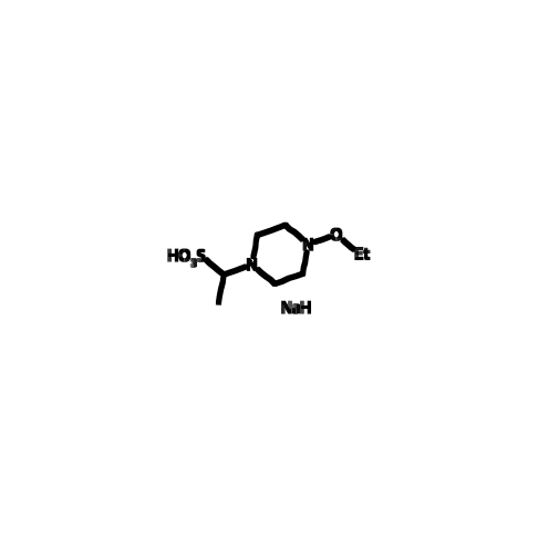 CCON1CCN(C(C)S(=O)(=O)O)CC1.[NaH]